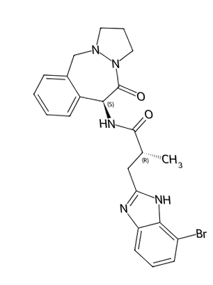 C[C@H](Cc1nc2cccc(Br)c2[nH]1)C(=O)N[C@@H]1C(=O)N2CCCN2Cc2ccccc21